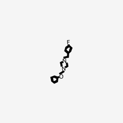 Fc1ccc(CCN2CCN(CCOc3ccccc3)CC2)cc1